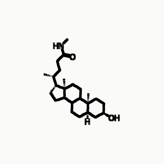 CNC(=O)CC[C@@H](C)[C@H]1CCC2C3CC[C@@H]4C[C@H](O)CC[C@]4(C)C3CC[C@@]21C